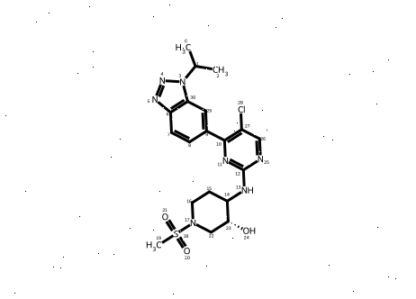 CC(C)n1nnc2ccc(-c3nc(NC4CCN(S(C)(=O)=O)C[C@H]4O)ncc3Cl)cc21